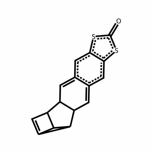 O=c1sc2cc3c(cc2s1)=CC1C(C=3)C2C=C3C2C31